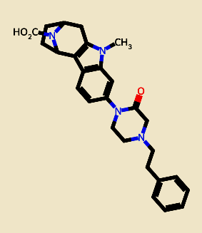 Cn1c2c(c3ccc(N4CCN(CCc5ccccc5)CC4=O)cc31)C1CCC(C2)N1C(=O)O